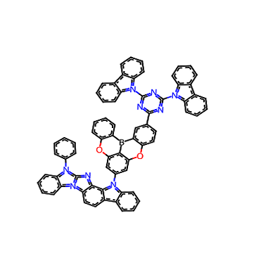 c1ccc(-n2c3ccccc3n3c4ccc5c6ccccc6n(-c6cc7c8c(c6)Oc6ccc(-c9nc(-n%10c%11ccccc%11c%11ccccc%11%10)nc(-n%10c%11ccccc%11c%11ccccc%11%10)n9)cc6B8c6ccccc6O7)c5c4nc23)cc1